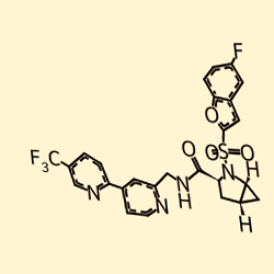 O=C(NCc1cc(-c2ccc(C(F)(F)F)cn2)ccn1)[C@@H]1C[C@H]2C[C@H]2N1S(=O)(=O)c1cc2cc(F)ccc2o1